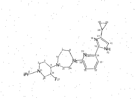 CC(C)N1CCC(N2CCCN(c3cccc(-c4nc(C5CC5)c[nH]4)n3)CC2)C(F)C1